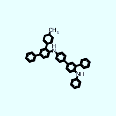 CC1C=CC(c2cc(-c3ccccc3)ccc2Nc2ccc(-c3ccc(Nc4ccccc4)c(-c4ccccc4)c3)cc2)=CC1